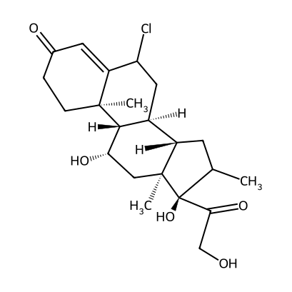 CC1C[C@H]2[C@@H]3CC(Cl)C4=CC(=O)CC[C@]4(C)[C@H]3[C@@H](O)C[C@]2(C)[C@@]1(O)C(=O)CO